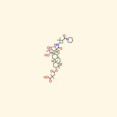 CC(C)(CC(=O)O[C@H]1CC[C@]2(C)[C@H]3CC[C@@H]4[C@H]5[C@H]([C@@](C)(O)CO)CC[C@]5(C(=O)N[C@@H]5C[C@H](C(=O)N6CCCCC6)C5(C)C)CC[C@@]4(C)[C@]3(C)CC[C@H]2C1(C)C)C(=O)O